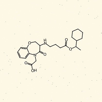 CC(OC(=O)CCCNC1COc2ccccc2N(CC(=O)O)C1=O)C1CCCCC1